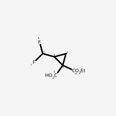 CCOC(=O)C1(C(=O)O)CC1C(F)F